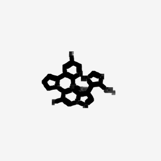 COc1ncc(F)cc1C1=CCCN1c1nc2c(-c3[nH]cnc3C)cnn2cc1F